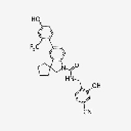 N#Cc1ccc(CNC(=O)N2CC3(CCCC3)c3cc(-c4ccc(O)cc4C(F)(F)F)ccc32)c(O)c1